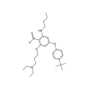 CCCCNc1cc(Oc2ccc(C(C)(C)C)cc2)cc(OCCCN(CC)CC)c1[N+](=O)[O-]